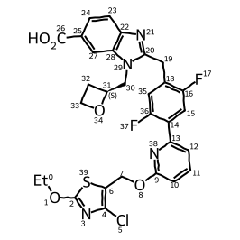 CCOc1nc(Cl)c(COc2cccc(-c3cc(F)c(Cc4nc5ccc(C(=O)O)cc5n4C[C@@H]4CCO4)cc3F)n2)s1